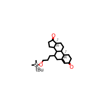 CC(C)(C)[Si](C)(C)OCCCC1CC2=CC(=O)CC[C@]2(C)C2CC[C@]3(C)C(=O)CCC3C12